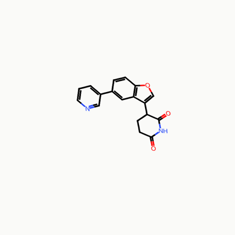 O=C1CCC(c2coc3ccc(-c4cccnc4)cc23)C(=O)N1